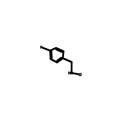 Fc1ccc(CNCl)cc1